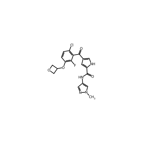 Cn1cc(NC(=O)c2cc(C(=O)c3c(Cl)ccc(OC4COC4)c3F)c[nH]2)cn1